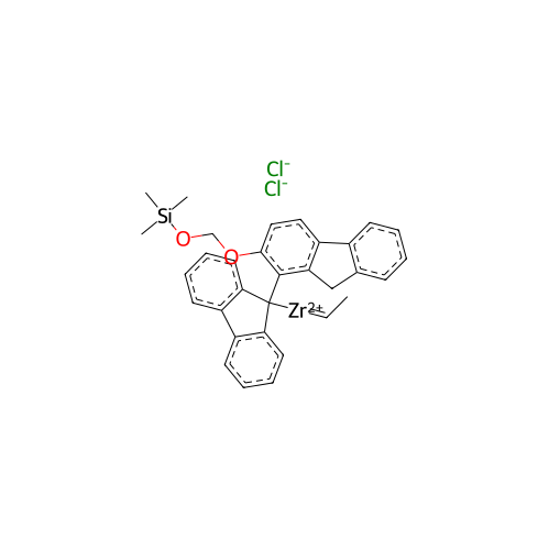 C[CH]=[Zr+2][C]1(c2c(OCO[Si](C)(C)C)ccc3c2Cc2ccccc2-3)c2ccccc2-c2ccccc21.[Cl-].[Cl-]